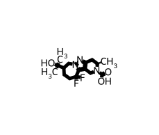 C[C@@H]1Cc2nn3c(c2CN1C(=O)O)C(F)(F)CCC(C(C)(C)O)C3